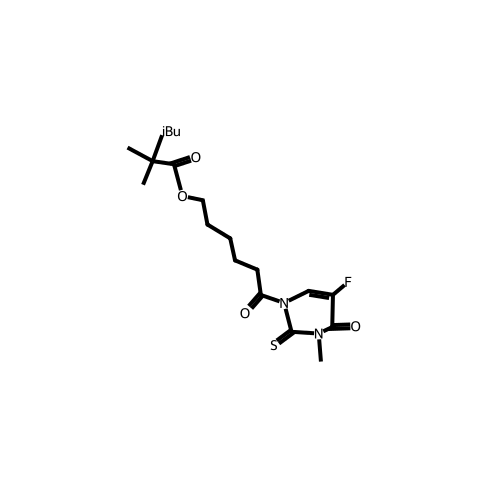 CCC(C)C(C)(C)C(=O)OCCCCCC(=O)n1cc(F)c(=O)n(C)c1=S